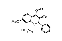 CCOC1=C2C=CC(OC)=CC2OC(c2ccccc2)C1=[Te].O=S(=O)(O)F